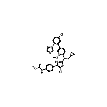 COC(=O)Nc1ccc(-c2[nH]c(C(CC3CC3)c3ccc(-c4cc(Cl)ccc4-n4cnnn4)c[n+]3OC)nc2Cl)cc1